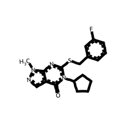 Cn1ncc2c(=O)n(C3CCCC3)c(SCc3cccc(F)c3)nc21